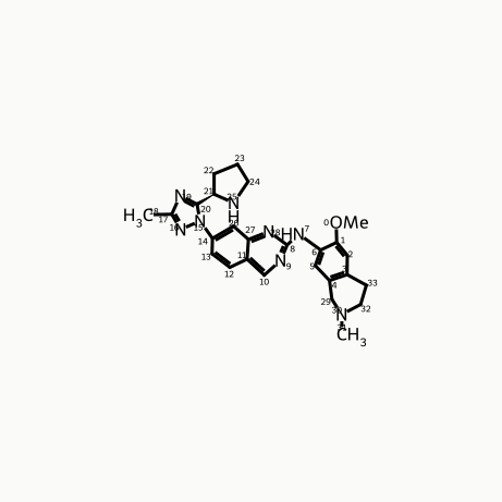 COc1cc2c(cc1Nc1ncc3ccc(-n4nc(C)nc4[C@H]4CCCN4)cc3n1)CN(C)CC2